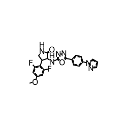 COc1cc(F)c(C2CNC(=O)C2Nc2nnc(-c3ccc(-n4cccn4)cc3)o2)c(F)c1